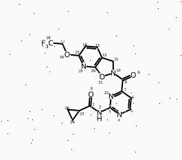 O=C(Nc1nccc(C(=O)N2Cc3ccc(OCC(F)(F)F)nc3O2)n1)C1CC1